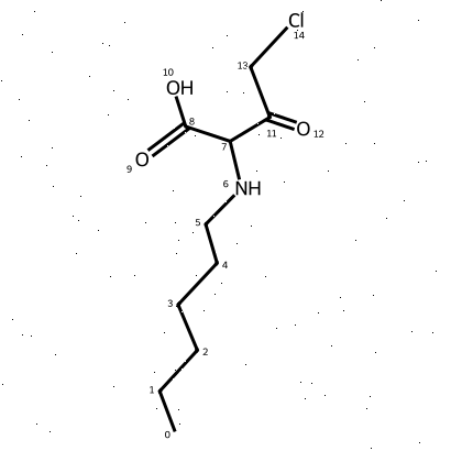 CCCCCCNC(C(=O)O)C(=O)CCl